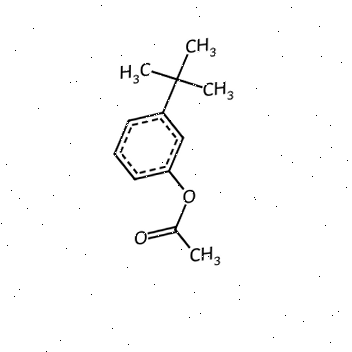 CC(=O)Oc1cccc(C(C)(C)C)c1